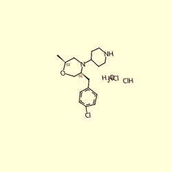 C[C@H]1CN(C2CCNCC2)[C@@H](Cc2ccc(Cl)cc2)CO1.Cl.Cl.O